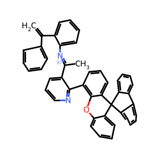 C=C(c1ccccc1)c1ccccc1/N=C(\C)c1cccnc1-c1cccc2c1Oc1ccccc1C21c2ccccc2-c2ccccc21